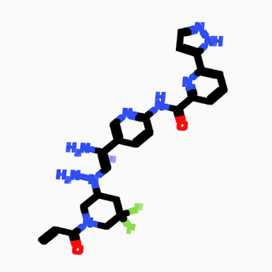 C=CC(=O)N1CC(N(N)/C=C(\N)c2ccc(NC(=O)c3cccc(-c4ccn[nH]4)n3)nc2)CC(F)(F)C1